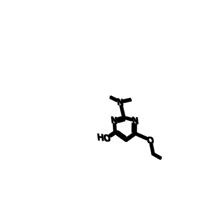 CCOc1cc(O)nc(N(C)C)n1